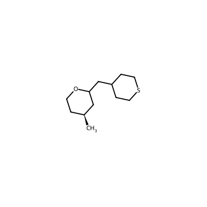 C[C@H]1CCOC(CC2CCSCC2)C1